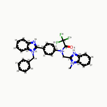 Cn1c(CN(C(=O)C(F)(F)F)c2ccc(-c3nc4ccccc4n3Cc3ccccc3)cc2)nc2ccccc21